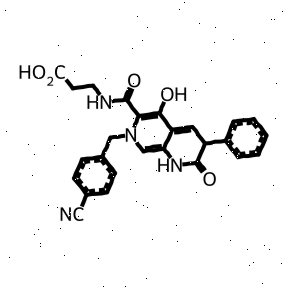 N#Cc1ccc(CN2C=C3NC(=O)C(c4ccccc4)C=C3C(O)=C2C(=O)NCCC(=O)O)cc1